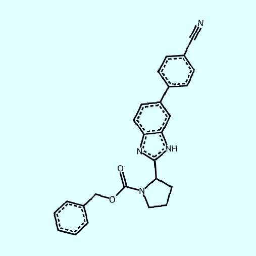 N#Cc1ccc(-c2ccc3nc(C4CCCN4C(=O)OCc4ccccc4)[nH]c3c2)cc1